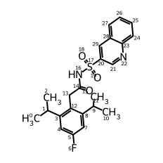 CC(C)c1cc(F)cc(C(C)C)c1CC(=O)NS(=O)(=O)c1cnc2ccccc2c1